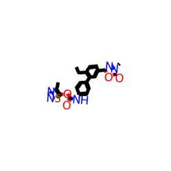 CCc1ccc(-c2nn(C)c(=O)o2)cc1-c1ccc(NC(=O)Oc2snnc2C)cc1